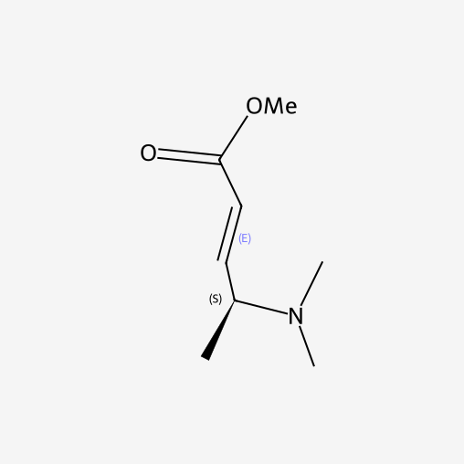 COC(=O)/C=C/[C@H](C)N(C)C